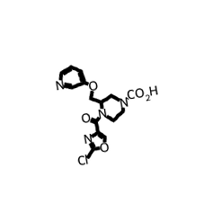 O=C(O)N1CCN(C(=O)c2coc(Cl)n2)C(COc2cccnc2)C1